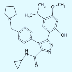 COc1cc(O)c(-c2nnc(C(=O)NC3CC3)n2-c2ccc(CN3CCCC3)cc2)cc1C(C)C